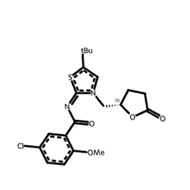 COc1ccc(Cl)cc1C(=O)N=c1sc(C(C)(C)C)cn1C[C@@H]1CCC(=O)O1